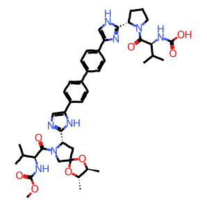 COC(=O)N[C@H](C(=O)N1CC2(C[C@H]1c1ncc(-c3ccc(-c4ccc(-c5c[nH]c([C@@H]6CCCN6C(=O)[C@@H](NC(=O)O)C(C)C)n5)cc4)cc3)[nH]1)O[C@@H](C)[C@H](C)O2)C(C)C